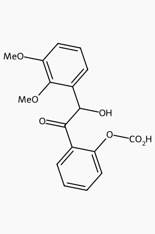 COc1cccc(C(O)C(=O)c2ccccc2OC(=O)O)c1OC